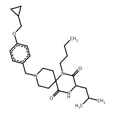 CCCCN1C(=O)C(CC(C)C)NC(=O)C12CCN(Cc1ccc(OCC3CC3)cc1)CC2